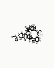 C=CC(=O)N1CCN(c2nc(=O)n3c4nc(c(F)cc24)-c2c(F)cccc2NC(=O)Cc2ncnc(C(C)C)c2-3)[C@@H](C)C1